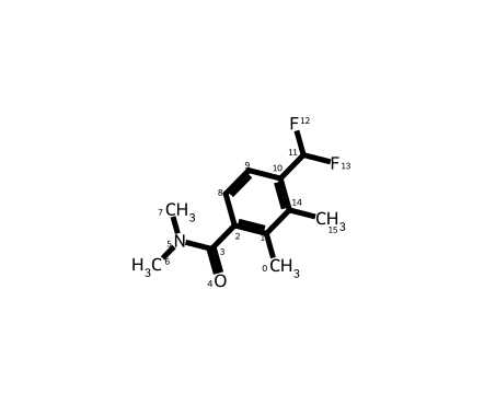 Cc1c(C(=O)N(C)C)ccc(C(F)F)c1C